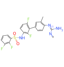 C=N/C(N)=N\c1ccc(-c2c(F)ccc(NS(=O)(=O)c3cccc(F)c3F)c2F)cc1C